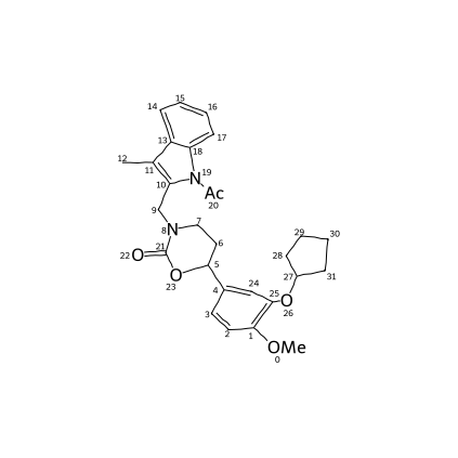 COc1ccc(C2CCN(Cc3c(C)c4ccccc4n3C(C)=O)C(=O)O2)cc1OC1CCCC1